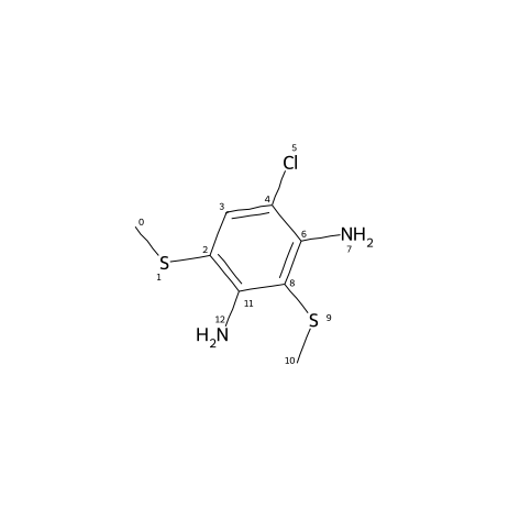 CSc1cc(Cl)c(N)c(SC)c1N